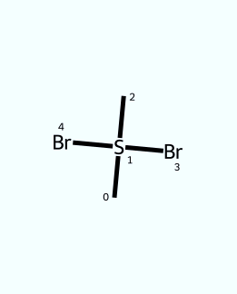 CS(C)(Br)Br